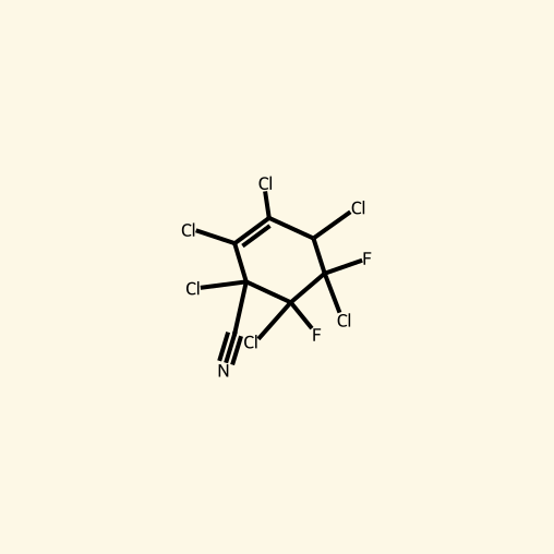 N#CC1(Cl)C(Cl)=C(Cl)C(Cl)C(F)(Cl)C1(F)Cl